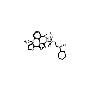 COc1cccc(OC)c1-n1c(NS(=O)(=O)CCC(O)C2CCCCC2)nnc1-c1ccco1